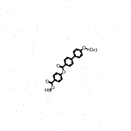 CCCCCCCCOc1ccc(-c2ccc(C(=O)Oc3ccc(C(=O)OO)cc3)cc2)cc1